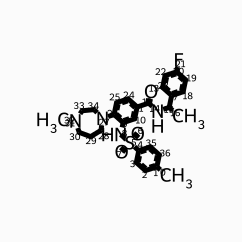 Cc1ccc(S(=O)(=O)Nc2cc(C(=O)NC(C)c3ccc(F)cc3)ccc2N2CCCN(C)CC2)cc1